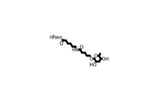 CCCCCC(=O)CCCCCNC(=O)CCCCOC1OC(C)C(O)CC1O